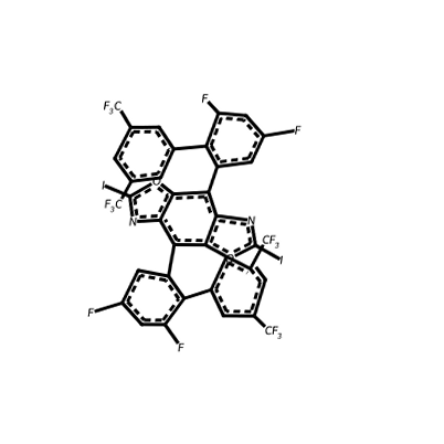 Fc1cc(F)c(-c2cc(C(F)(F)F)cc(C(F)(F)F)c2)c(-c2c3nc(I)oc3c(-c3cc(F)cc(F)c3-c3cc(C(F)(F)F)cc(C(F)(F)F)c3)c3nc(I)oc23)c1